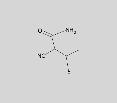 CC(F)C(C#N)C(N)=O